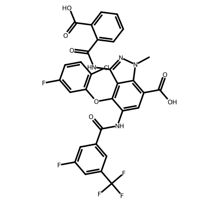 Cn1nc(NC(=O)c2ccccc2C(=O)O)c2c(Oc3cc(F)ccc3Cl)c(NC(=O)c3cc(F)cc(C(F)(F)F)c3)cc(C(=O)O)c21